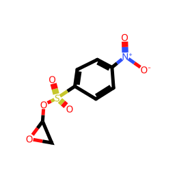 O=[N+]([O-])c1ccc(S(=O)(=O)OC2CO2)cc1